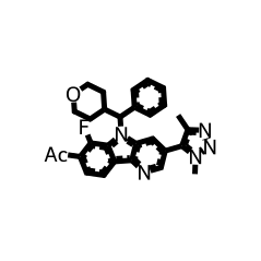 CC(=O)c1ccc2c3ncc(-c4c(C)nnn4C)cc3n(C(c3ccccc3)C3CCOCC3)c2c1F